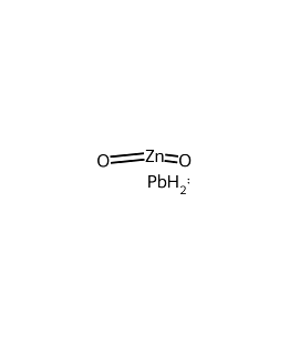 [O]=[Zn]=[O].[PbH2]